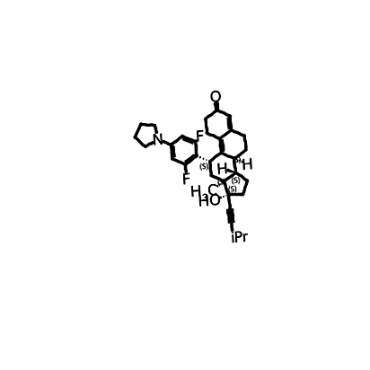 CC(C)C#C[C@]1(O)CC[C@H]2[C@@H]3CCC4=CC(=O)CCC4=C3[C@@H](c3c(F)cc(N4CCCC4)cc3F)C[C@@]21C